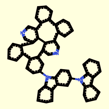 c1ccc2c(c1)c1cncc3c1-c1c(cncc1c1cc(-n4c5ccccc5c5cc(-n6c7ccccc7c7ccccc76)ccc54)ccc1c1ccccc31)c1ccccc12